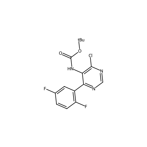 CC(C)(C)OC(=O)Nc1c(Cl)ncnc1-c1cc(F)ccc1F